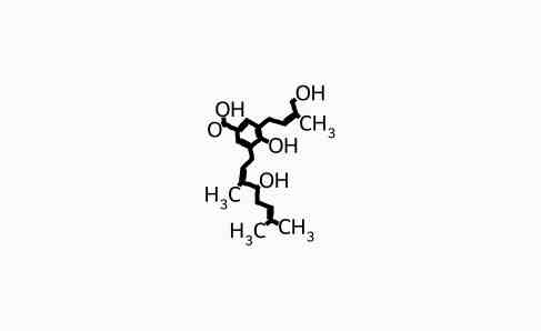 CC(C)=CCC(O)C(C)=CCc1cc(C(=O)O)cc(CC=C(C)CO)c1O